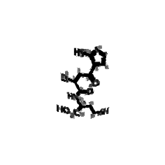 CCC(CC(=O)c1ccsc1S)C(=O)NC(CCS)C(=O)O